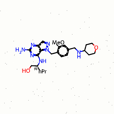 CCC[C@@H](CO)Nc1nc(N)nc2cnn(Cc3ccc(CNC4CCOCC4)cc3OC)c12